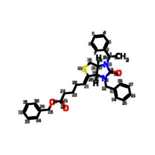 C[C@H](c1ccccc1)N1C(=O)N(Cc2ccccc2)[C@@H]2C(=CCCCC(=O)OCc3ccccc3)SC[C@@H]21